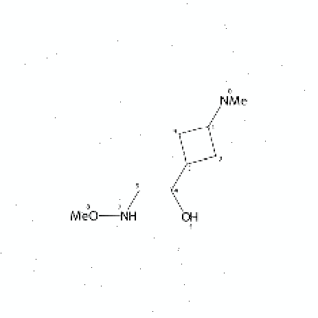 CNC1CC(C(O)CNOC)C1